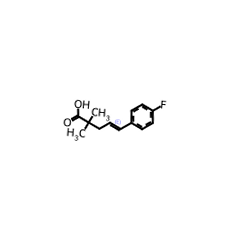 CC(C)(C/C=C/c1ccc(F)cc1)C(=O)O